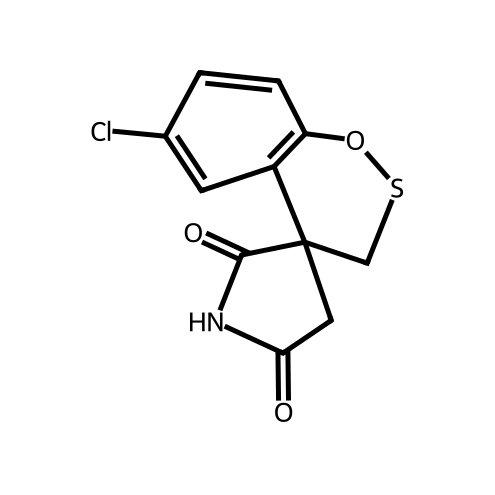 O=C1CC2(CSOc3ccc(Cl)cc32)C(=O)N1